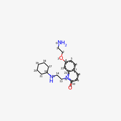 NCCOc1ccc2ccc(=O)n(CCNC3CCCCC3)c2c1